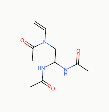 C=CN(CC(NC(C)=O)NC(C)=O)C(C)=O